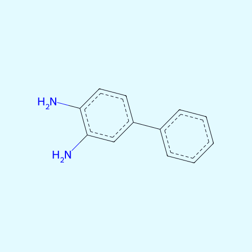 Nc1ccc(-c2ccccc2)cc1N